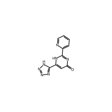 O=c1cc(-c2nnn[nH]2)[nH]c(-c2ccccn2)n1